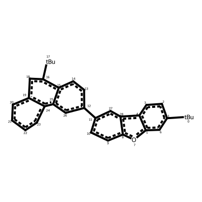 CC(C)(C)c1ccc2c(c1)oc1ccc(-c3ccc4c(C(C)(C)C)cc5ccccc5c4c3)cc12